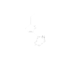 CCC1CC=C(c2nccs2)S1